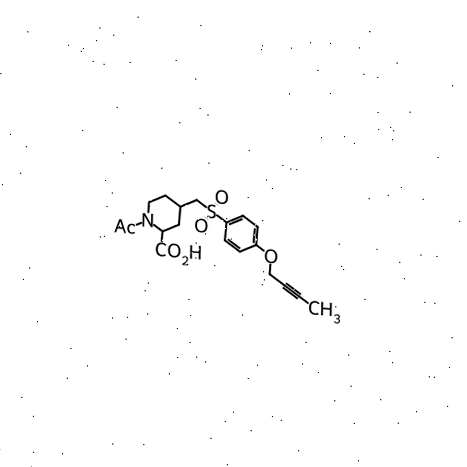 CC#CCOc1ccc(S(=O)(=O)CC2CCN(C(C)=O)C(C(=O)O)C2)cc1